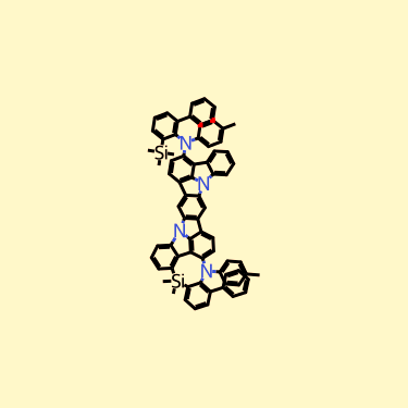 Cc1ccc(N(c2c(-c3ccccc3)cccc2[Si](C)(C)C)c2ccc3c4cc5c(cc4n4c6ccccc6c2c34)c2ccc3c4c6c(cccc6n5c24)[Si](C)(C)c2cccc(-c4ccccc4)c2N3c2ccc(C)cc2)cc1